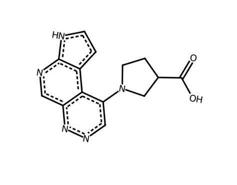 O=C(O)C1CCN(c2cnnc3cnc4[nH]ccc4c23)C1